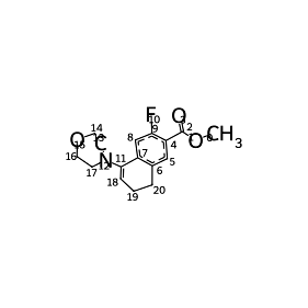 COC(=O)c1cc2c(cc1F)C(N1CCOCC1)=CCC2